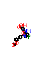 O=C(NC1CCC(C(=O)O)CC1)c1ccc(F)c2ccn(Cc3ccc(-c4cccc(OC5COC5)c4)cc3)c12